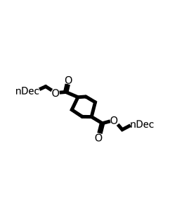 CCCCCCCCCCCOC(=O)C1CCC(C(=O)OCCCCCCCCCCC)CC1